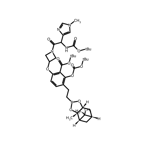 Cn1cnc(C(NC(=O)OC(C)(C)C)C(=O)N2CC(Oc3ccc(CCB4O[C@@H]5C[C@@H]6C[C@@H](C6(C)C)[C@]5(C)O4)c(OC(=O)OC(C)(C)C)c3C(=O)OC(C)(C)C)C2)c1